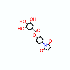 O=C(Oc1ccc(N2C(=O)C=CC2=O)cc1)c1cc(O)c(O)c(O)c1